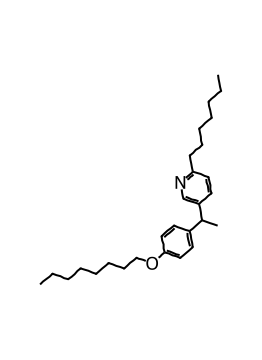 CCCCCCCCOc1ccc(C(C)c2ccc(CCCCCCC)nc2)cc1